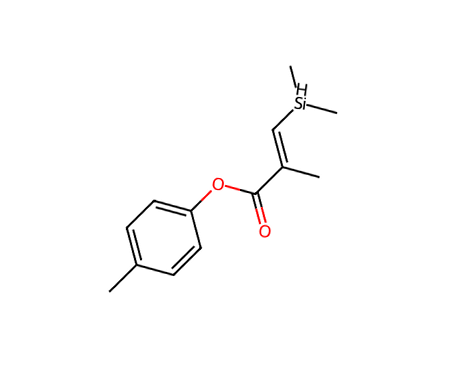 CC(=C[SiH](C)C)C(=O)Oc1ccc(C)cc1